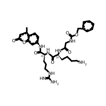 Cc1cc(=O)oc2cc(NC(=O)[C@H](CCCNC(=N)N)NC(=O)[C@H](CCCCN)NC(=O)CNC(=O)OCc3ccccc3)ccc12